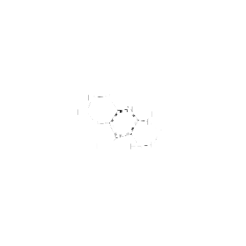 Cc1c2c(nc3c1BBBB3)BBBB2